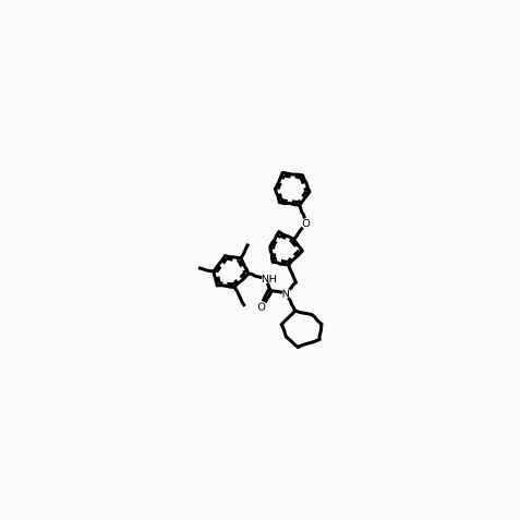 Cc1cc(C)c(NC(=O)N(Cc2cccc(Oc3ccccc3)c2)C2CCCCCC2)c(C)c1